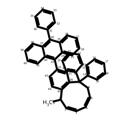 CC1/C=C\C=C/CC(c2ccccc2)(c2ccccc2)c2cc(-c3c4ccccc4c(-c4ccccc4)c4ccccc34)ccc21